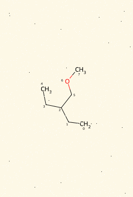 [CH2]CC(CC)COC